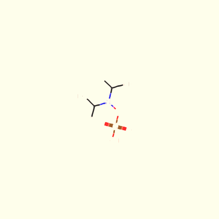 CC(C)N(OS(=O)(=O)O)C(C)C.[Pt]